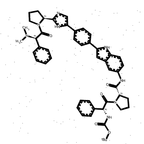 CN(C)[C@@H](C(=O)N1CCC[C@H]1c1ncc(-c2ccc(-c3cc4cc(NC(=O)[C@@H]5CCCN5C(=O)[C@H](NC(=O)OC(C)(C)C)c5ccccc5)ccc4[nH]3)cc2)[nH]1)c1ccccc1